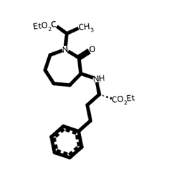 CCOC(=O)C(C)N1CCCCC(N[C@@H](CCc2ccccc2)C(=O)OCC)C1=O